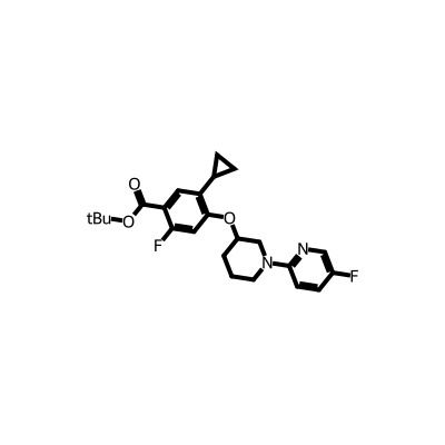 CC(C)(C)OC(=O)c1cc(C2CC2)c(OC2CCCN(c3ccc(F)cn3)C2)cc1F